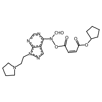 O=CN(OC(=O)/C=C\C(=O)OC1CCCC1)c1ncnc2c1cnn2CCN1CCCC1